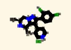 C[C@@H]1Cn2nc(-c3ccc(Cl)cc3F)c(-c3ccncc3)c2[C@@H](C)N1.Cl